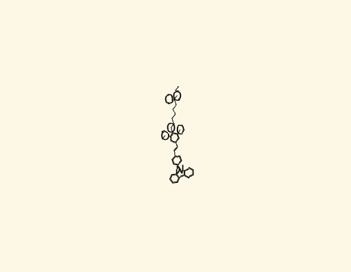 CCOC(=O)CCCCCOc1c(OC)cc(/C=C/c2ccc(-n3c4ccccc4c4ccccc43)cc2)cc1OC